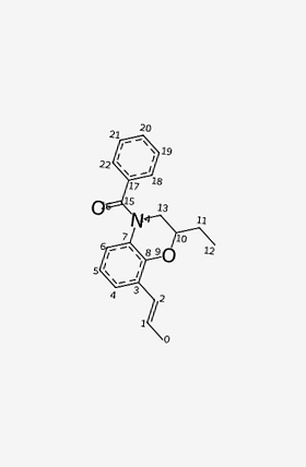 C/C=C/c1cccc2c1OC(CC)CN2C(=O)c1ccccc1